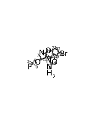 CC(C)(F)COc1cnc2c(c1)C1(COC(N)=N1)c1cc(Br)ccc1O2